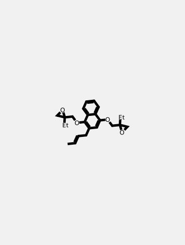 C/C=C/Cc1cc(OCC2(CC)CO2)c2ccccc2c1OCC1(CC)CO1